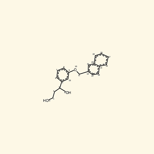 OCCC(O)c1cccc(OCc2ccc3ccccc3c2)c1